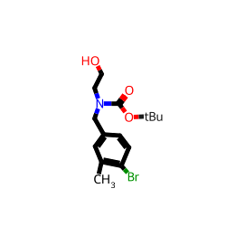 Cc1cc(CN(CCO)C(=O)OC(C)(C)C)ccc1Br